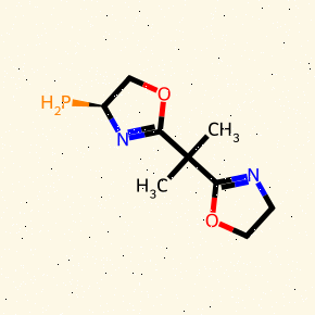 CC(C)(C1=NCCO1)C1=N[C@@H](P)CO1